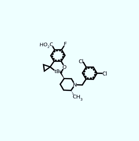 C[C@@H]1CC[C@@H](COc2cc(F)c(C(=O)O)cc2C2(C(C)(C)C)CC2)CN1Cc1cc(Cl)cc(Cl)c1